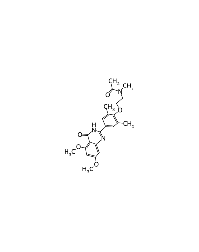 COc1cc(OC)c2c(=O)[nH]c(-c3cc(C)c(OCCN(C)C(C)=O)c(C)c3)nc2c1